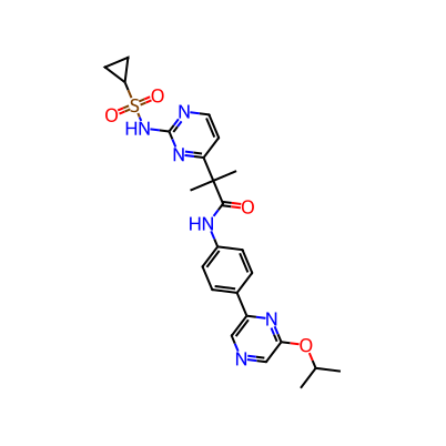 CC(C)Oc1cncc(-c2ccc(NC(=O)C(C)(C)c3ccnc(NS(=O)(=O)C4CC4)n3)cc2)n1